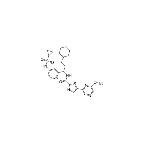 CCOc1cncc(-c2cnc(C(=O)NC(CCN3CCCCC3)c3cc(NS(=O)(=O)C4CC4)ccn3)s2)n1